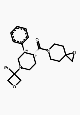 CC(C)C1(N2CC[C@@H](C(=O)N3CCC4(CC3)CO4)[C@H](c3ccccc3)C2)COC1